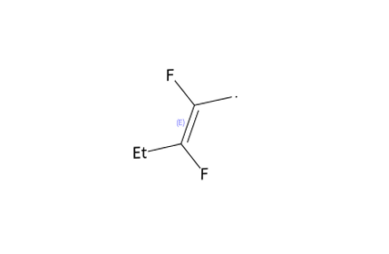 [CH2]/C(F)=C(\F)CC